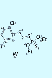 CCOP(=S)(OCC)SCSc1cc(Cl)ccc1Cl.[W]